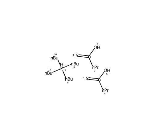 CCCC(O)=S.CCCC(O)=S.CCCC[PH](CCCC)(CCCC)CCCC